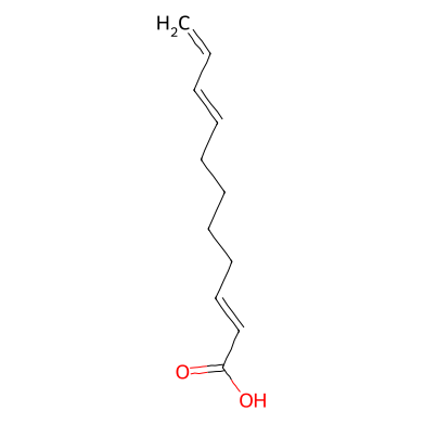 C=CC=CCCCCC=CC(=O)O